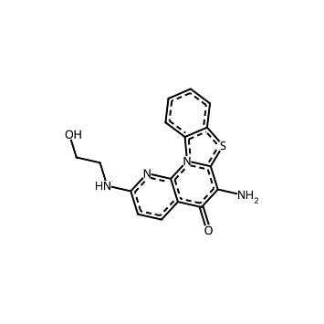 Nc1c(=O)c2ccc(NCCO)nc2n2c1sc1ccccc12